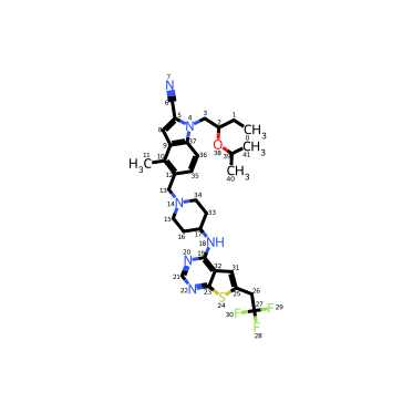 CCC(Cn1c(C#N)cc2c(C)c(CN3CCC(Nc4ncnc5sc(CC(F)(F)F)cc45)CC3)ccc21)OC(C)C